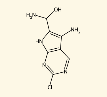 Nc1c(C(N)O)[nH]c2nc(Cl)ncc12